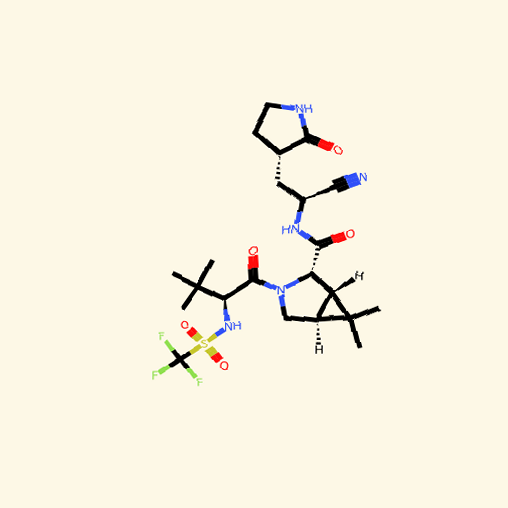 CC(C)(C)[C@H](NS(=O)(=O)C(F)(F)F)C(=O)N1C[C@H]2[C@H]([C@H]1C(=O)N[C@H](C#N)C[C@@H]1CCNC1=O)C2(C)C